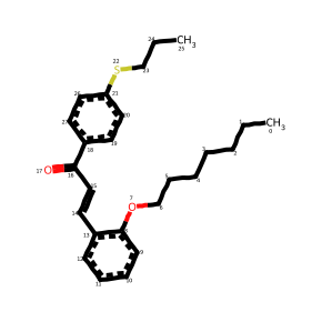 CCCCCCCOc1ccccc1/C=C/C(=O)c1ccc(SCCC)cc1